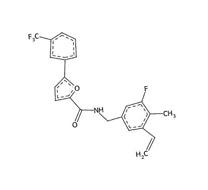 C=Cc1cc(CNC(=O)c2ccc(-c3cccc(C(F)(F)F)c3)o2)cc(F)c1C